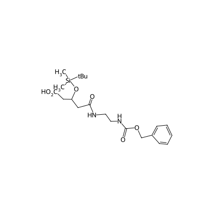 CC(C)(C)[Si](C)(C)OC(CC(=O)O)CC(=O)NCCNC(=O)OCc1ccccc1